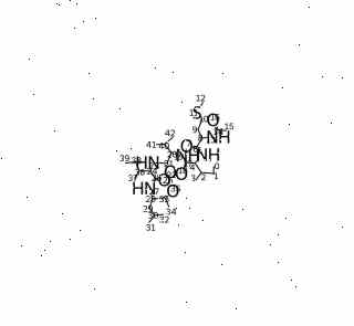 CCC(C)C(NC(=O)C(CCSC)NC(C)=O)C(=O)NC(C(=O)NC(C(=O)NC(CC(C)C)C(C)=O)C(C)CC)C(C)C